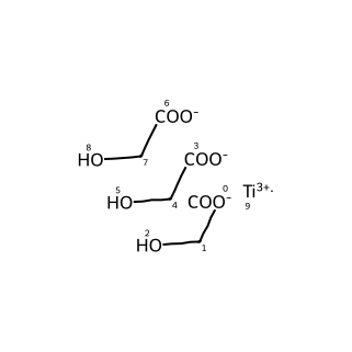 O=C([O-])CO.O=C([O-])CO.O=C([O-])CO.[Ti+3]